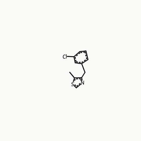 Cc1scnc1Cc1cccc(Cl)c1